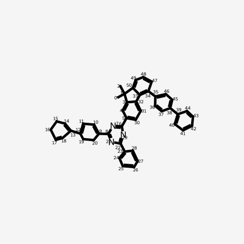 CC1(C)c2cc(-c3nc(C4=CC=C(C5=CCCC=C5)CC4)nc(-c4ccccc4)n3)ccc2-c2c(-c3ccc(-c4ccccc4)cc3)cccc21